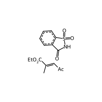 CCOC(=O)C(C)=CC(C)=O.O=C1NS(=O)(=O)c2ccccc21